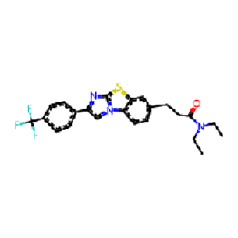 CCN(CC)C(=O)CCc1ccc2c(c1)sc1nc(-c3ccc(C(F)(F)F)cc3)cn12